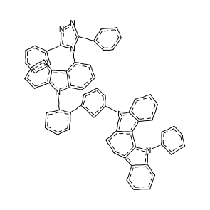 c1ccc(-c2nnc(-c3ccccc3)n2-c2cccc3c2c2ccccc2n3-c2ccccc2-c2cccc(-n3c4ccccc4c4c3ccc3c5ccccc5n(-c5ccccc5)c34)c2)cc1